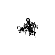 CCC[C@H](NC(=O)[C@@H]1C[C@]2(CC(c3cc(Cl)c(OC)cc3C)=NO2)CN1C(=O)[C@@H](NC(=O)CC1CCCCCC1)C(C)(C)C)C(=O)C(=O)NC1CC1